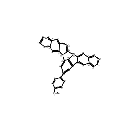 COc1ccc(-c2cc3c4cc5ccccc5cc4n4c3c(c2)n2c3cc5ccccc5cc3nc24)cc1